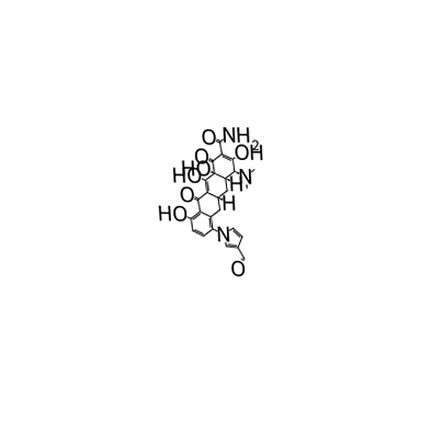 CN(C)[C@@H]1C(O)=C(C(N)=O)C(=O)[C@@]2(O)C(O)=C3C(=O)c4c(O)ccc(-n5ccc(C=O)c5)c4C[C@H]3C[C@@H]12